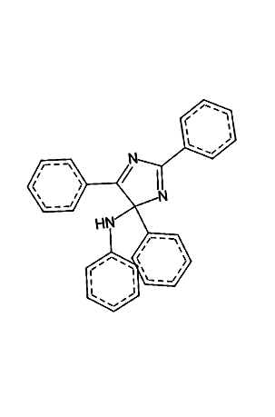 c1ccc(NC2(c3ccccc3)N=C(c3ccccc3)N=C2c2ccccc2)cc1